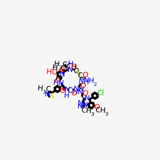 COc1ccc2c(c1)C(c1ccc(Cl)cc1)=N[C@@H](CC(=O)NC[C@H]1NC(=O)CNC(=O)[C@@H](c3ccc(-c4scnc4C)cc3)NC(=O)[C@@H]3C[C@@H](O)CN3C(=O)[C@H](C(C)(C)C)NC(=O)CSC[C@H](C(N)=O)NC1=O)c1nnc(C)n1-2